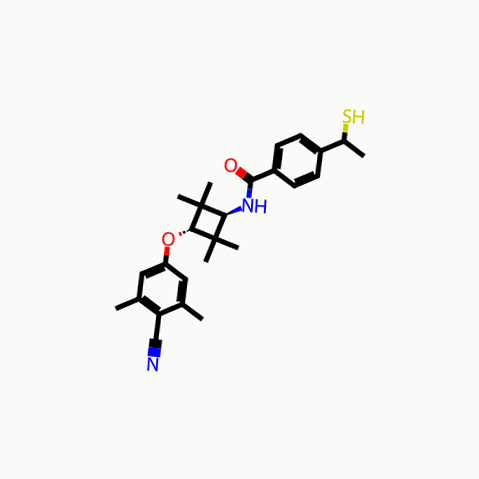 Cc1cc(O[C@H]2C(C)(C)[C@H](NC(=O)c3ccc(C(C)S)cc3)C2(C)C)cc(C)c1C#N